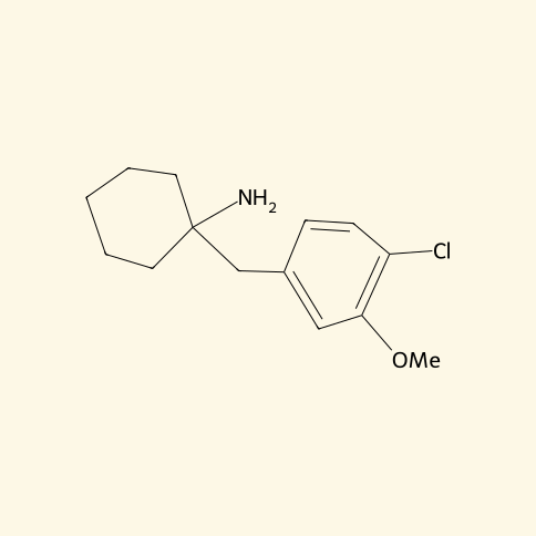 COc1cc(CC2(N)CCCCC2)ccc1Cl